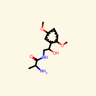 COc1ccc(OC)c(C(O)CNC(=O)C(C)N)c1